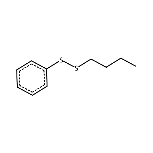 CCCCSSc1ccccc1